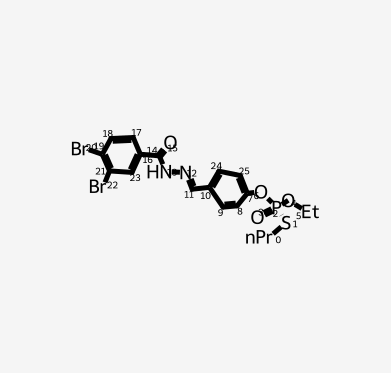 CCCSP(=O)(OCC)Oc1ccc(C=NNC(=O)c2ccc(Br)c(Br)c2)cc1